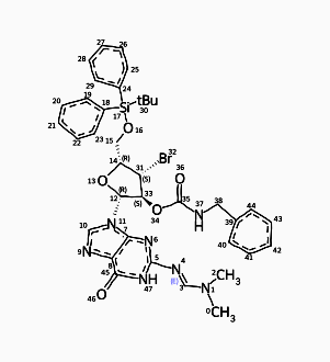 CN(C)/C=N/c1nc2c(ncn2[C@@H]2O[C@H](CO[Si](c3ccccc3)(c3ccccc3)C(C)(C)C)[C@H](Br)[C@H]2OC(=O)NCc2ccccc2)c(=O)[nH]1